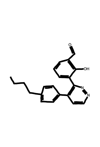 CCCCc1ccc(-c2ccnnc2-c2cccc(C=O)c2O)cc1